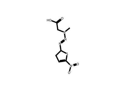 CN(CC(=O)O)/N=N/C1CC=C([N+](=O)[O-])S1